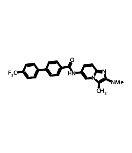 CNc1nc2ccc(NC(=O)c3ccc(-c4ccc(C(F)(F)F)cc4)cc3)cn2c1C